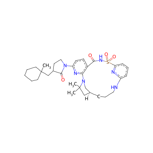 CC1(CC2CCN(c3ccc4c(n3)N3C[C@@H](CCCNc5cccc(n5)S(=O)(=O)NC4=O)CC3(C)C)C2=O)CCCCC1